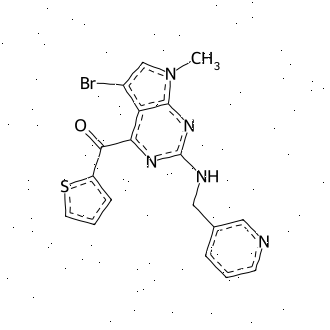 Cn1cc(Br)c2c(C(=O)c3cccs3)nc(NCc3cccnc3)nc21